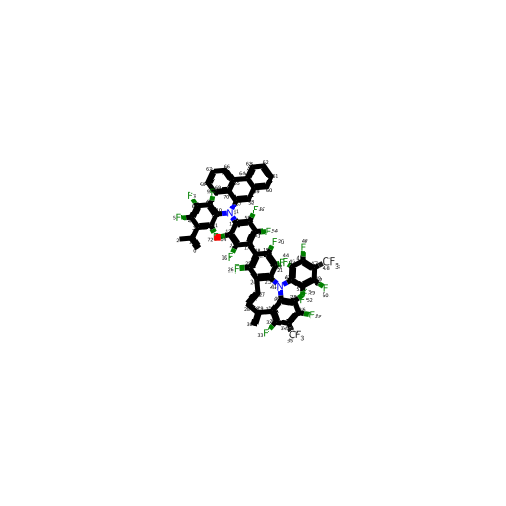 C=C(C)c1c(F)c(F)c(F)c(N(c2c(F)c(F)c(-c3c(F)c(F)c4c(c3F)/C=C/C(=C)c3c(F)c(C(F)(F)F)c(F)c(F)c3N4c3c(F)c(F)c(C(F)(F)F)c(F)c3F)c(F)c2F)c2cc3ccccc3c3ccccc23)c1F